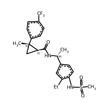 CCc1cc([C@@H](C)NC(=O)[C@H]2C[C@]2(C)c2ccc(C(F)(F)F)cc2)ccc1NS(C)(=O)=O